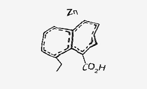 Cc1cccc2cccc(C(=O)O)c12.[Zn]